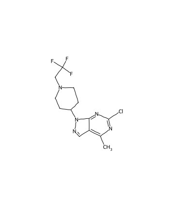 Cc1nc(Cl)nc2c1cnn2C1CCN(CC(F)(F)F)CC1